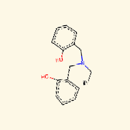 CC(C)CN(Cc1ccccc1O)Cc1ccccc1O